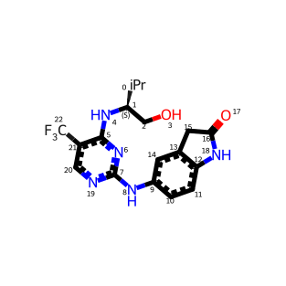 CC(C)[C@@H](CO)Nc1nc(Nc2ccc3c(c2)CC(=O)N3)ncc1C(F)(F)F